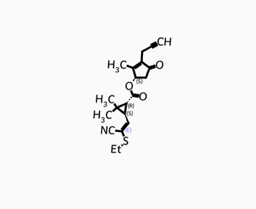 C#CCC1=C(C)[C@@H](OC(=O)[C@@H]2[C@@H](/C=C(\C#N)SCC)C2(C)C)CC1=O